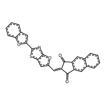 O=C1C(=Cc2cc3sc(-c4cc5ccccc5o4)nc3o2)C(=O)c2cc3ccccc3cc21